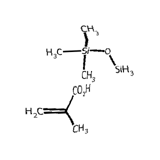 C=C(C)C(=O)O.C[Si](C)(C)O[SiH3]